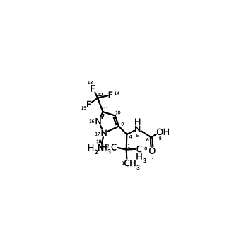 CC(C)(C)C(NC(=O)O)c1cc(C(F)(F)F)nn1N